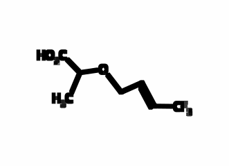 CC(OC/C=C/C(F)(F)F)C(=O)O